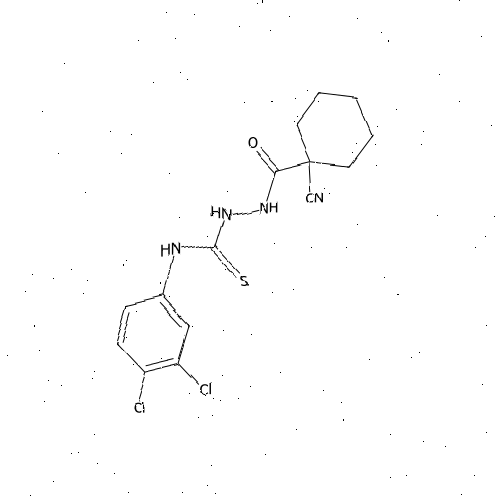 N#CC1(C(=O)NNC(=S)Nc2ccc(Cl)c(Cl)c2)CCCCC1